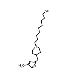 Cc1cnn(CC2CCN(CCCCCCCCCS)CC2)c1